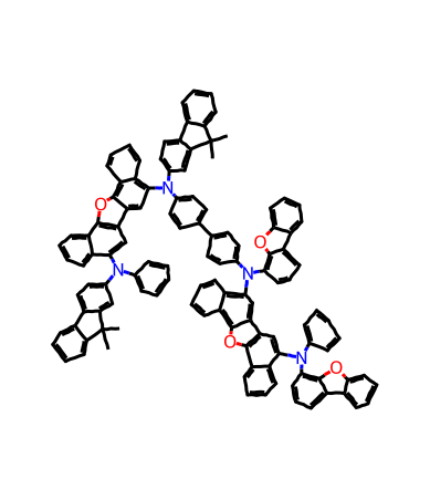 CC1(C)c2ccccc2-c2ccc(N(c3ccccc3)c3cc4c5cc(N(c6ccc(-c7ccc(N(c8cc9c%10cc(N(c%11ccccc%11)c%11cccc%12c%11oc%11ccccc%11%12)c%11ccccc%11c%10oc9c9ccccc89)c8cccc9c8oc8ccccc89)cc7)cc6)c6ccc7c(c6)C(C)(C)c6ccccc6-7)c6ccccc6c5oc4c4ccccc34)cc21